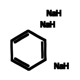 [NaH].[NaH].[NaH].c1ccccc1